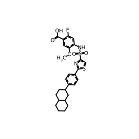 COc1cc(C(=O)O)c(F)cc1NS(=O)(=O)c1csc(-c2ccc(C3CCC4CCCCC4C3)cc2)n1